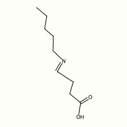 CCCCCN=CCCC(=O)O